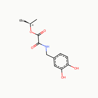 C[C@@H](OC(=O)C(=O)NCc1ccc(O)c(O)c1)C(C)(C)C